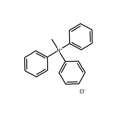 C[N+](c1ccccc1)(c1ccccc1)c1ccccc1.[Cl-]